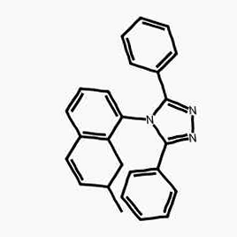 CC1C=Cc2cccc(-n3c(-c4ccccc4)nnc3-c3ccccc3)c2C1